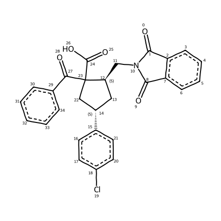 O=C1c2ccccc2C(=O)N1C[C@H]1C[C@H](c2ccc(Cl)cc2)CC1(C(=O)O)C(=O)c1ccccc1